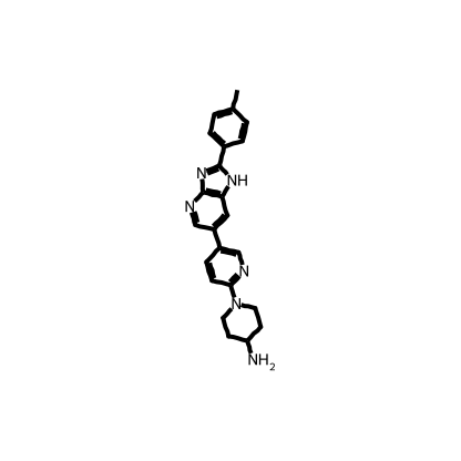 Cc1ccc(-c2nc3ncc(-c4ccc(N5CCC(N)CC5)nc4)cc3[nH]2)cc1